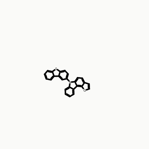 c1ccc2c(c1)sc1ccc(-n3c4ccccc4c4c5occc5ccc43)cc12